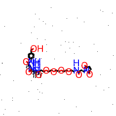 CC(C)[C@H](NC(=O)CCOCCOCCOCCOCCNC(=O)CCN1C(=O)C=CC1=O)C(=O)N[C@@H](C)C(=O)Nc1ccc(CO)cc1